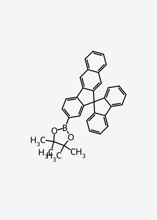 CC1(C)OB(c2ccc3c(c2)C2(c4ccccc4-c4ccccc42)c2cc4ccccc4cc2-3)OC1(C)C